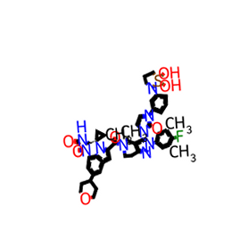 Cc1cc(-n2nc3c(c2-n2ccn(-c4cccc(N5CCCS5(O)O)c4)c2=O)C(C)N(C(=O)c2cc4cc(C5CCOCC5)ccc4n2[C@@]2(c4noc(=O)[nH]4)C[C@@H]2C)CC3)cc(C)c1F